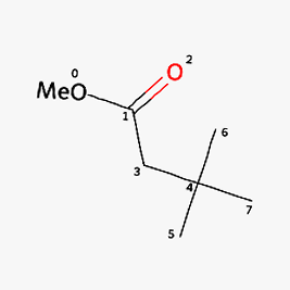 [CH2]OC(=O)CC(C)(C)C